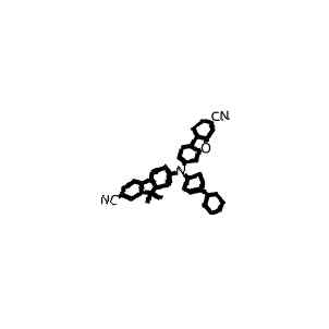 CC1(C)C2C=C(N(C3CC=C(C4CCCCC4)CC3)C3CCC4C(C3)OC3CC(C#N)CCC34)C=CC2C2C=CC(C#N)CC21